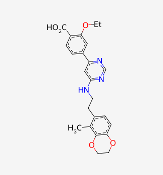 CCOc1cc(-c2cc(NCCc3ccc4c(c3C)OCCO4)ncn2)ccc1C(=O)O